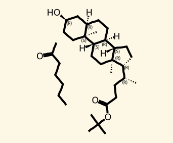 CCCCCC(C)=O.C[C@H](CCC(=O)OC(C)(C)C)[C@H]1CC[C@H]2[C@@H]3CC[C@@H]4C[C@H](O)CC[C@]4(C)[C@H]3CC[C@]12C